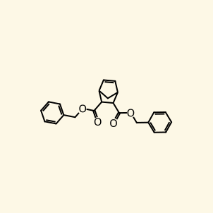 O=C(OCc1ccccc1)C1C2C=CC(C2)C1C(=O)OCc1ccccc1